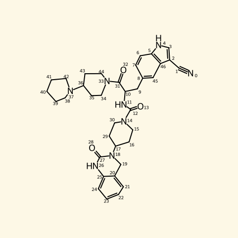 N#Cc1c[nH]c2ccc(CC(NC(=O)N3CCC(N4Cc5ccccc5NC4=O)CC3)C(=O)N3CCC(N4CCCCC4)CC3)cc12